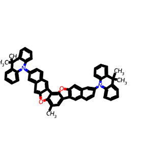 Cc1cc2c3cc4ccc(N5c6ccccc6C(C)(C)c6ccccc65)cc4cc3oc2c2c1oc1cc3cc(N4c5ccccc5C(C)(C)c5ccccc54)ccc3cc12